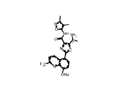 COc1ccc(-c2nc(C(=O)Nc3onc(C)c3C)c([C@H](C)N)o2)c2ccc(C(F)(F)F)nc12